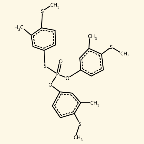 CSc1ccc(OP(=O)(Oc2ccc(SC)c(C)c2)Sc2ccc(SC)c(C)c2)cc1C